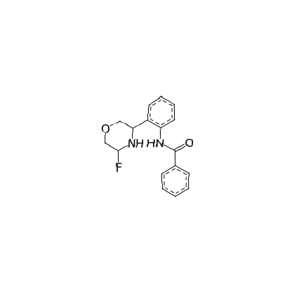 O=C(Nc1ccccc1C1COCC(F)N1)c1ccccc1